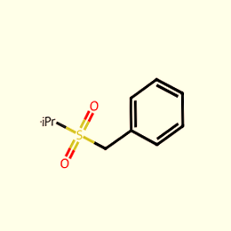 C[C](C)S(=O)(=O)Cc1ccccc1